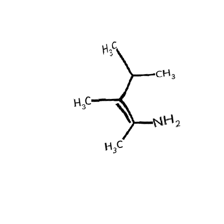 C/C(N)=C(\C)C(C)C